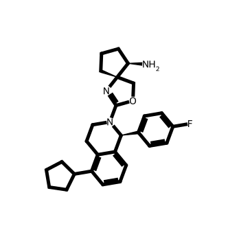 N[C@@H]1CCC[C@]12COC(N1CCc3c(C4CCCC4)cccc3[C@@H]1c1ccc(F)cc1)=N2